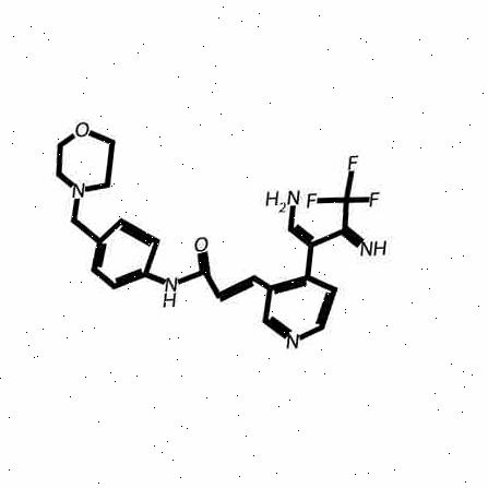 N=C(/C(=C\N)c1ccncc1/C=C/C(=O)Nc1ccc(CN2CCOCC2)cc1)C(F)(F)F